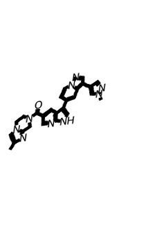 Cc1cn2c(n1)CN(C(=O)c1cnc3[nH]cc(-c4ccn5ncc(-c6cnn(C)c6)c5c4)c3c1)CC2